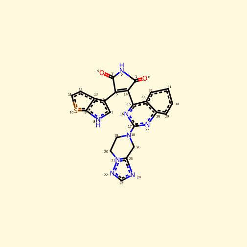 O=C1NC(=O)C(c2c[nH]c3sccc23)=C1c1nc(N2CCn3ncnc3C2)nc2ccccc12